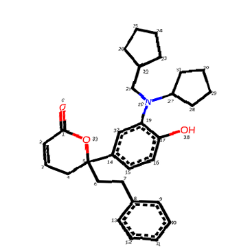 O=C1C=CCC(CCc2ccccc2)(c2ccc(O)c(N(CC3CCCC3)C3CCCC3)c2)O1